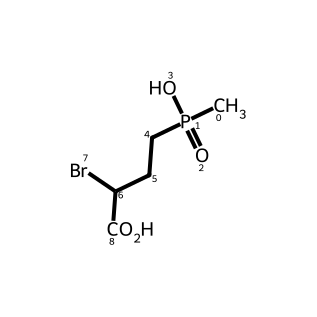 CP(=O)(O)CCC(Br)C(=O)O